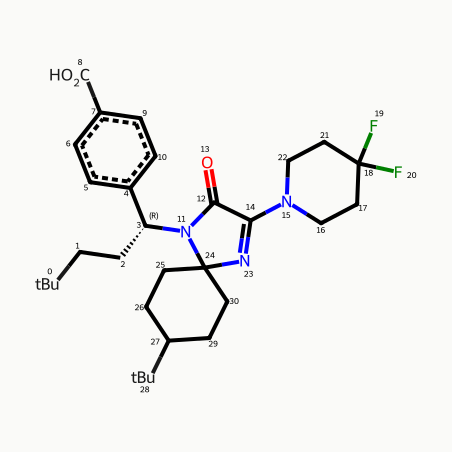 CC(C)(C)CC[C@H](c1ccc(C(=O)O)cc1)N1C(=O)C(N2CCC(F)(F)CC2)=NC12CCC(C(C)(C)C)CC2